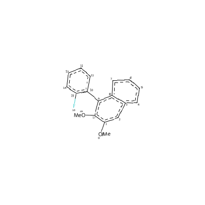 COc1cc2ccccc2c(-c2ccccc2F)c1OC